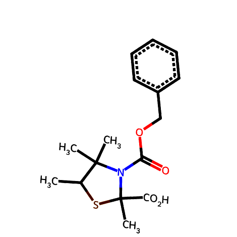 CC1SC(C)(C(=O)O)N(C(=O)OCc2ccccc2)C1(C)C